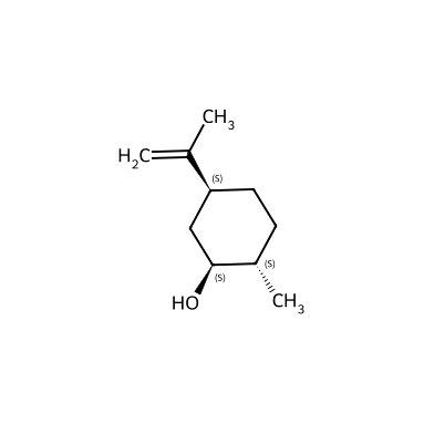 C=C(C)[C@H]1CC[C@H](C)[C@@H](O)C1